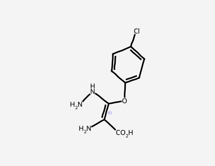 NN/C(Oc1ccc(Cl)cc1)=C(\N)C(=O)O